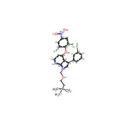 C[Si](C)(C)CCOCn1cc(-c2cccc(F)c2)c2c(Oc3c(F)cc([N+](=O)[O-])cc3F)ccnc21